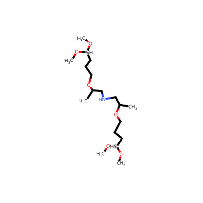 CO[SiH](CCCOC(C)CNCC(C)OCCC[SiH](OC)OC)OC